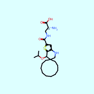 CC(C)OC1c2sc(C(=O)NC[C@@H](N)C(=O)O)cc2NCC12CCCCCCCCCC2